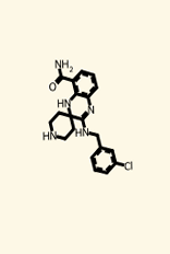 NC(=O)c1cccc2c1NC1(CCNCC1)C(NCc1cccc(Cl)c1)=N2